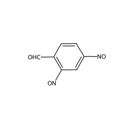 O=Cc1ccc(N=O)cc1N=O